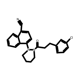 N#Cc1ccc(N2CCCCN2C(=O)CCc2cccc(Cl)c2)c2ccccc12